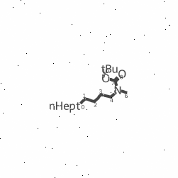 CCCCCCCCCCCN(C)C(=O)OC(C)(C)C